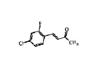 CC(=O)C=Cc1ccc(Cl)cc1F